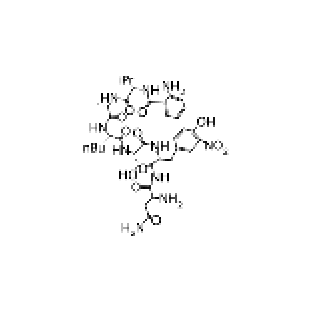 CCCC[C@H](NC(=O)[C@H](C)NC(=O)[C@@H](NC(=O)c1ccccc1N)C(C)C)C(=O)N[C@@H](CO)C(=O)N[C@@H](Cc1ccc(O)c([N+](=O)[O-])c1)C(=O)NC(=O)[C@@H](N)CC(N)=O